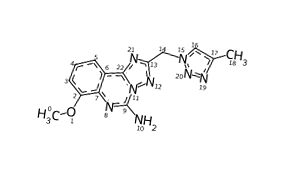 COc1cccc2c1nc(N)n1nc(Cn3cc(C)nn3)nc21